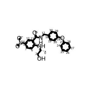 C[C@H](CO)Nc1ccc([N+](=O)[O-])cc1C(=O)NCc1ccc(Oc2ccccc2)cc1